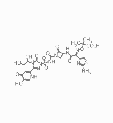 C[C@H](CO)n1c(-c2cc(=O)c(O)c[nH]2)nn(S(=O)(=O)NC(=O)N2C[C@H](NC(=O)C(=NOC(C)(C)C(=O)O)c3csc(N)n3)C2=O)c1=O